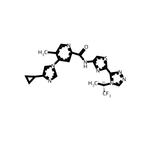 Cc1cnc(C(=O)Nc2csc(-c3nncn3[C@@H](C)C(F)(F)F)n2)cc1-n1cnc(C2CC2)c1